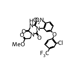 COC(=O)Cn1c(=O)[nH]c(=O)n(-c2cc(Oc3ccc(C(F)(F)F)cc3Cl)ccc2[N+](=O)[O-])c1=O